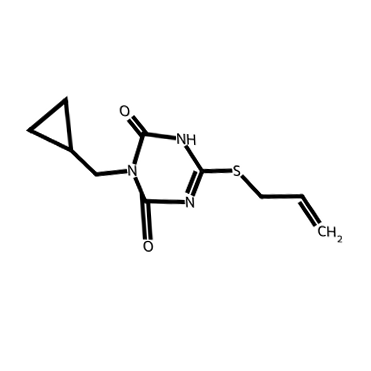 C=CCSc1nc(=O)n(CC2CC2)c(=O)[nH]1